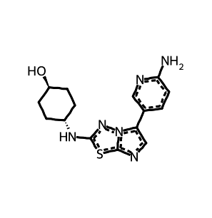 Nc1ccc(-c2cnc3sc(N[C@H]4CC[C@H](O)CC4)nn23)cn1